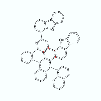 c1ccc(-c2c3ccccc3c(-c3cccc4ccccc34)c3ccccc23)c(-c2nc(-c3cccc4c3oc3ccccc34)cc(-c3cccc4c3oc3ccccc34)n2)c1